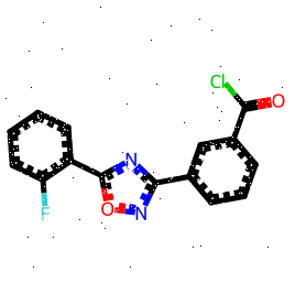 O=C(Cl)c1cccc(-c2noc(-c3ccccc3F)n2)c1